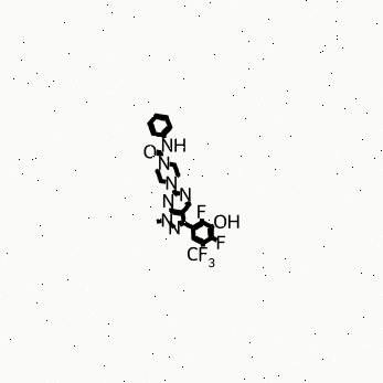 Cn1nc(-c2cc(C(F)(F)F)c(F)c(O)c2F)c2cnc(N3CCN(C(=O)Nc4ccccc4)CC3)nc21